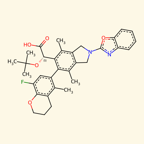 Cc1c(-c2c(C)c3c(c(C)c2[C@H](OC(C)(C)C)C(=O)O)CN(c2nc4ccccc4o2)C3)cc(F)c2c1CCCO2